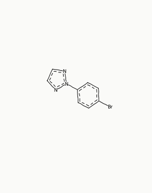 Brc1ccc(-n2nccn2)cc1